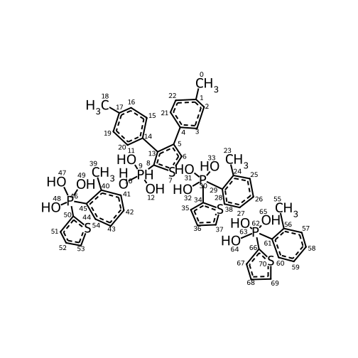 Cc1ccc(-c2csc([PH](O)(O)O)c2-c2ccc(C)cc2)cc1.Cc1ccccc1P(O)(O)(O)c1cccs1.Cc1ccccc1P(O)(O)(O)c1cccs1.Cc1ccccc1P(O)(O)(O)c1cccs1